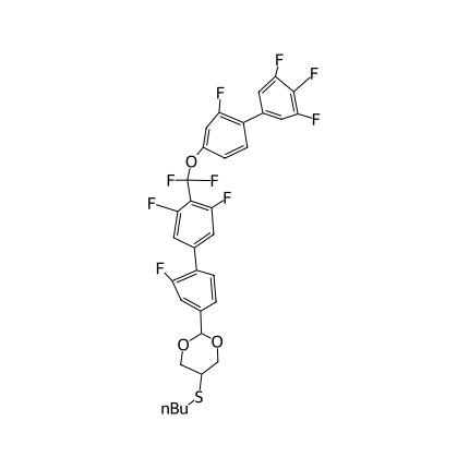 CCCCSC1COC(c2ccc(-c3cc(F)c(C(F)(F)Oc4ccc(-c5cc(F)c(F)c(F)c5)c(F)c4)c(F)c3)c(F)c2)OC1